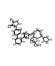 O=C(O)C[C@@H]1C(=O)N(c2nc(-c3ccccc3-c3ccc(N4CCC(F)C4=O)nc3)cs2)CC=CC[C@@H]1C1CCCC1